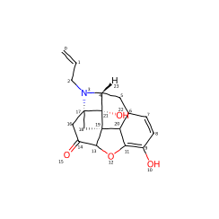 C=CCN1[C@@H]2CC3C=CC(O)=C4OC5C(=O)C[C@@]16C[C@@]5(C43)[C@]26O